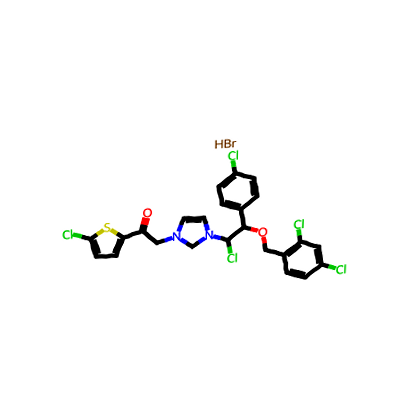 Br.O=C(CN1C=CN(C(Cl)C(OCc2ccc(Cl)cc2Cl)c2ccc(Cl)cc2)C1)c1ccc(Cl)s1